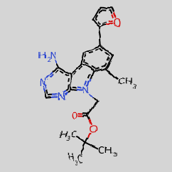 Cc1cc(-c2ccco2)cc2c3c(N)ncnc3n(CC(=O)OC(C)(C)C)c12